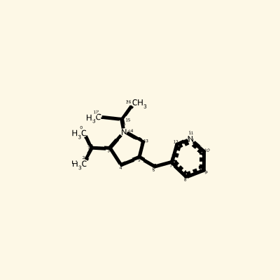 CC(C)C1CC(Cc2cccnc2)CN1C(C)C